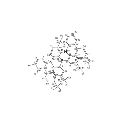 CC1=CC=C(N2c3ccc(C(C)(C)C)cc3B3c4cc(C(C)(C)C)ccc4N(c4ccc(C)cc4-c4ccc(C(C)(C)C)cc4)c4c(C(C)(C)C)ccc2c43)C(c2ccc(C(C)(C)C)cc2)C1C